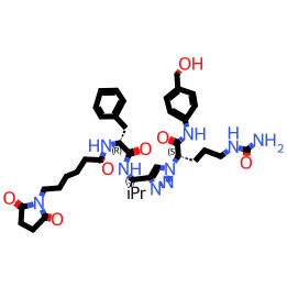 CC(C)[C@H](NC(=O)[C@@H](Cc1ccccc1)NC(=O)CCCCCN1C(=O)CCC1=O)c1cn([C@@H](CCCNC(N)=O)C(=O)Nc2ccc(CO)cc2)nn1